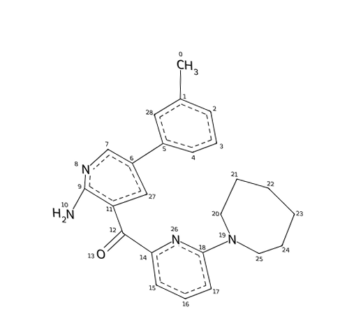 Cc1cccc(-c2cnc(N)c(C(=O)c3cccc(N4CCCCCC4)n3)c2)c1